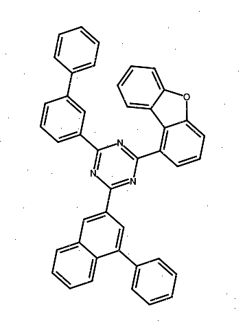 c1ccc(-c2cccc(-c3nc(-c4cc(-c5ccccc5)c5ccccc5c4)nc(-c4cccc5oc6ccccc6c45)n3)c2)cc1